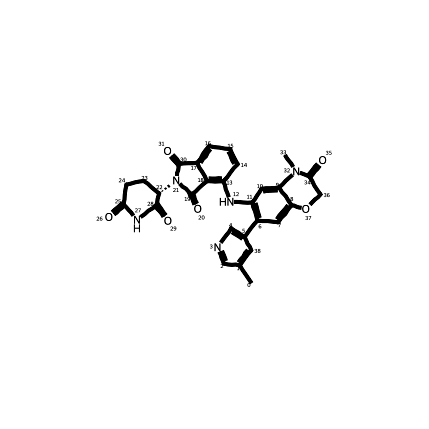 Cc1cncc(-c2cc3c(cc2Nc2cccc4c2C(=O)N([C@H]2CCC(=O)NC2=O)C4=O)N(C)C(=O)CO3)c1